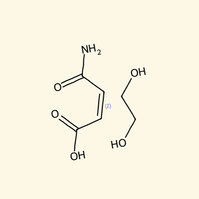 NC(=O)/C=C\C(=O)O.OCCO